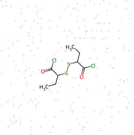 CCC(SSC(CC)C(=O)Cl)C(=O)Cl